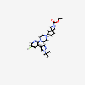 CCOC(=O)N1CC2(CC[C@@H](N3CCN(c4ncc(F)cc4-c4cnn(C(C)(C)C)c4)CC3)C2)C1